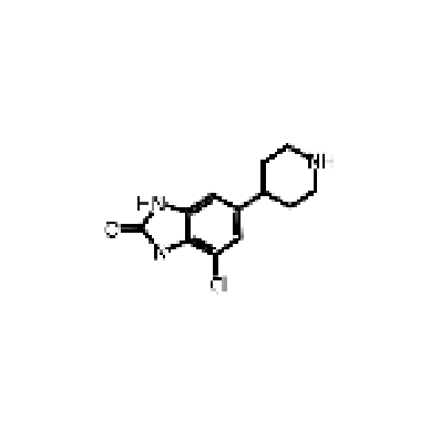 O=C1[N]c2c(Cl)cc(C3CCNCC3)cc2N1